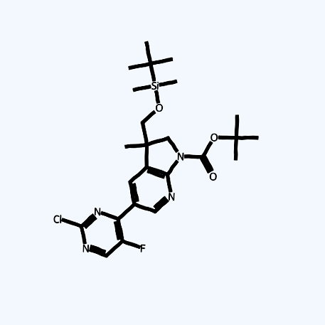 CC(C)(C)OC(=O)N1CC(C)(CO[Si](C)(C)C(C)(C)C)c2cc(-c3nc(Cl)ncc3F)cnc21